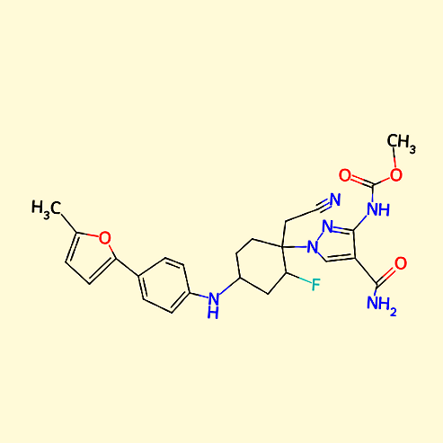 COC(=O)Nc1nn(C2(CC#N)CCC(Nc3ccc(-c4ccc(C)o4)cc3)CC2F)cc1C(N)=O